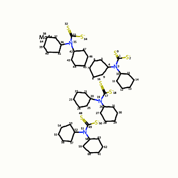 S=C([S-])N(C1CCCCC1)C1CCCCC1.S=C([S-])N(C1CCCCC1)C1CCCCC1.S=C([S-])N(C1CCCCC1)C1CCCCC1.S=C([S-])N(C1CCCCC1)C1CCCCC1.[Mo+4]